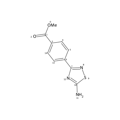 COC(=O)c1ccc(-c2nsc(N)n2)cc1